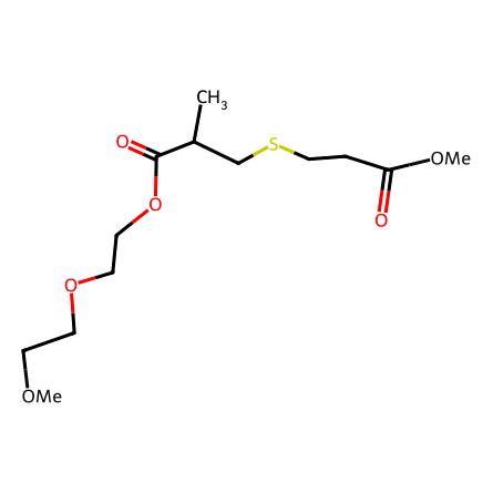 COCCOCCOC(=O)C(C)CSCCC(=O)OC